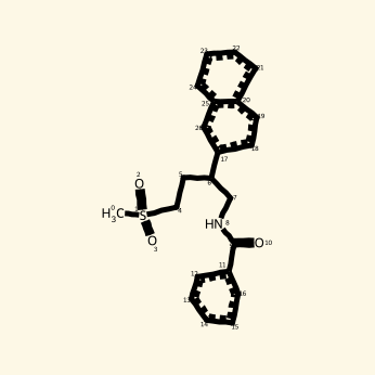 CS(=O)(=O)CCC(CNC(=O)c1ccccc1)c1ccc2ccccc2c1